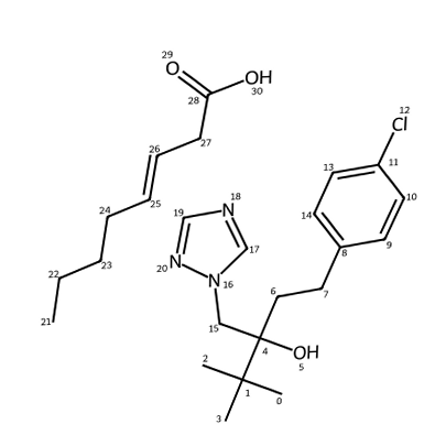 CC(C)(C)C(O)(CCc1ccc(Cl)cc1)Cn1cncn1.CCCCC=CCC(=O)O